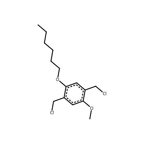 CCCCCCOc1cc(CCl)c(OC)cc1CCl